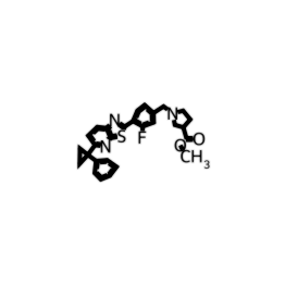 COC(=O)C1CCN(Cc2ccc(-c3nc4ccc(C5(c6ccccc6)CC5)nc4s3)c(F)c2)C1